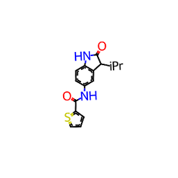 CC(C)C1C(=O)Nc2ccc(NC(=O)c3cccs3)cc21